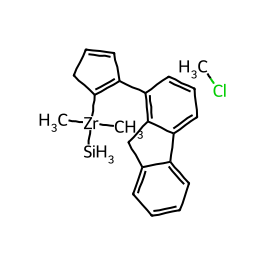 CCl.[CH3][Zr]([CH3])([SiH3])[C]1=C(c2cccc3c2Cc2ccccc2-3)C=CC1